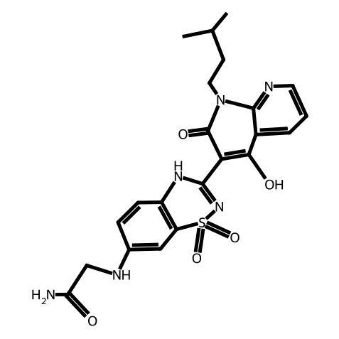 CC(C)CCn1c(=O)c(C2=NS(=O)(=O)c3cc(NCC(N)=O)ccc3N2)c(O)c2cccnc21